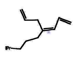 C=C/C=C(\CC=C)CCCC(C)C